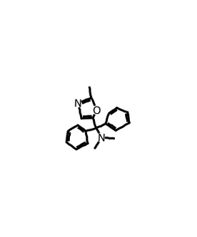 Cc1ncc(C(c2ccccc2)(c2ccccc2)N(C)C)o1